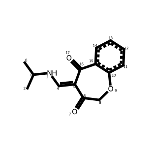 CC(C)NC=C1C(=O)COc2ccccc2C1=O